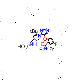 CCN(C(=O)c1cc(F)ccc1Oc1cncnc1N1CCC(CNC(=O)O)CC1C(C)(C)C)C(C)C